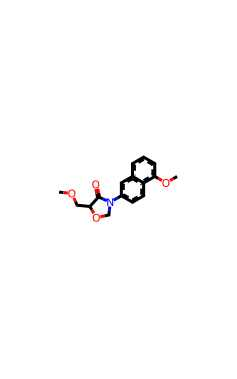 COCC1OCN(c2ccc3c(OC)cccc3c2)C1=O